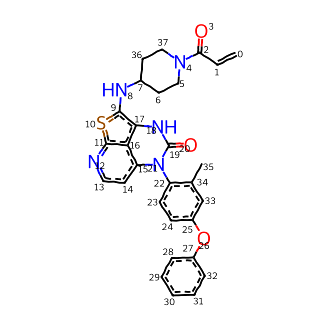 C=CC(=O)N1CCC(Nc2sc3nccc4c3c2NC(=O)N4c2ccc(Oc3ccccc3)cc2C)CC1